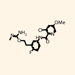 C/N=C(/N)OCCc1cc(NC(=O)c2ncc(OC)cc2Cl)ccc1F